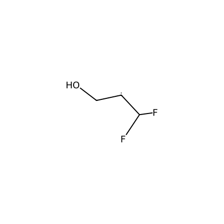 OC[CH]C(F)F